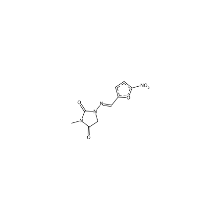 CN1C(=O)CN(N=Cc2ccc([N+](=O)[O-])o2)C1=O